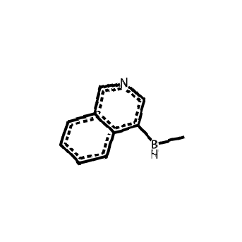 CBc1cncc2ccccc12